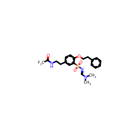 CN(C)/C=N/S(=O)(=O)c1cc(CCNC(=O)C(F)(F)F)ccc1OCCc1ccccc1